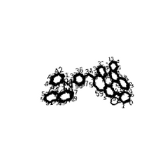 C1=Cc2oc3cc4c(c(-c5cc6ccccc6c6ccccc56)c3c2CC1)-c1ccccc1C(Cc1ccc(N(c2ccccc2)c2cccc3ccccc23)cc1)CC4